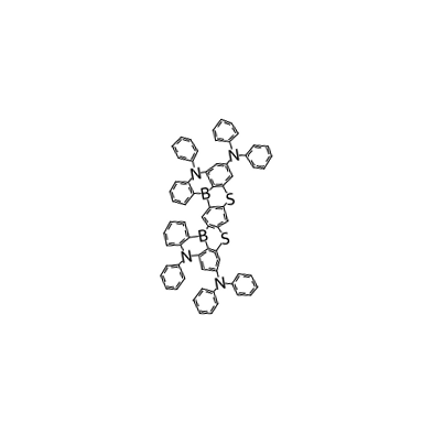 c1ccc(N(c2ccccc2)c2cc3c4c(c2)N(c2ccccc2)c2ccccc2B4c2cc4c(cc2S3)Sc2cc(N(c3ccccc3)c3ccccc3)cc3c2B4c2ccccc2N3c2ccccc2)cc1